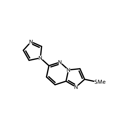 CSc1cn2nc(-n3ccnc3)ccc2n1